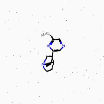 COc1cncc(C2=CN3CCC2CC3)n1